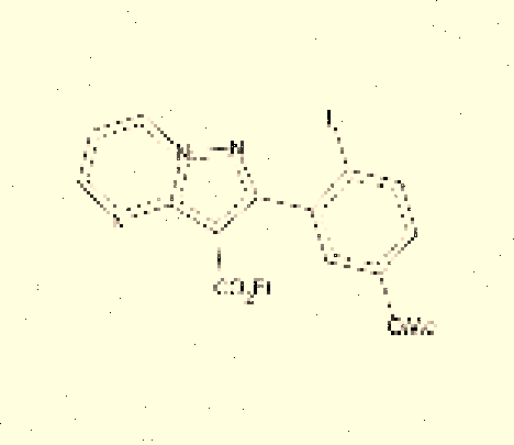 CCOC(=O)c1c(-c2cc(OC)ccc2F)nn2cccnc12